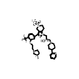 CS(=O)(=O)N1CCc2c(c(-c3ccc(C(F)(F)F)c(SCCN4CC[C@H](F)C4)c3)nn2C[C@@H](O)CN2CCC(c3ccccn3)CC2)C1